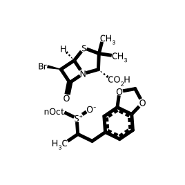 CC1(C)S[C@@H]2[C@H](Br)C(=O)N2[C@H]1C(=O)O.CCCCCCCC[S+]([O-])C(C)Cc1ccc2c(c1)OCO2